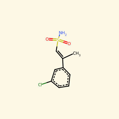 CC(=CS(N)(=O)=O)c1cccc(Cl)c1